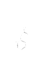 [CH2]CC(=O)Oc1ccccn1